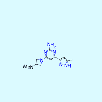 CNC1CN(c2cc(-c3cc(C)[nH]n3)nc(N)n2)C1